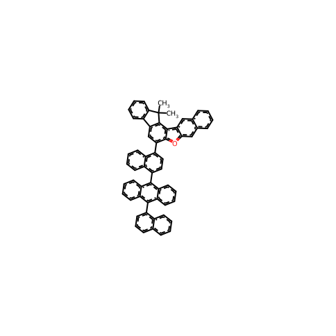 CC1(C)c2ccccc2-c2cc(-c3ccc(-c4c5ccccc5c(-c5cccc6ccccc56)c5ccccc45)c4ccccc34)c3oc4cc5ccccc5cc4c3c21